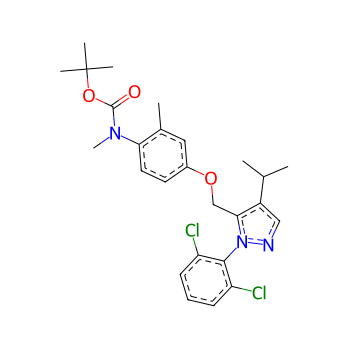 Cc1cc(OCc2c(C(C)C)cnn2-c2c(Cl)cccc2Cl)ccc1N(C)C(=O)OC(C)(C)C